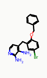 Nc1nccc(Cc2cc(Br)ccc2OCc2ccccc2)c1N